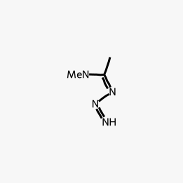 CN/C(C)=N\N=N